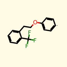 FC(F)(F)c1ccccc1CCOc1cc[c]cc1